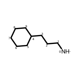 [NH]CCCC1CCCCC1